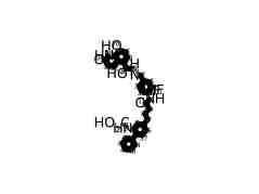 F.F.O=C(O)Nc1cc(CCCC(=O)Nc2ccc(CNC[C@H](O)c3ccc(O)c4[nH]c(=O)ccc34)cc2)ccc1-c1ccccc1